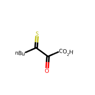 CCCCC(=S)C(=O)C(=O)O